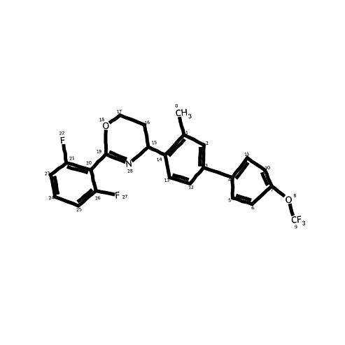 Cc1cc(-c2ccc(OC(F)(F)F)cc2)ccc1C1CCOC(c2c(F)cccc2F)=N1